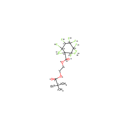 CCC(C)(C)C(=O)OCCOC(=O)C1(F)C(F)(F)C(F)C(F)(F)C(F)(F)C1(F)F